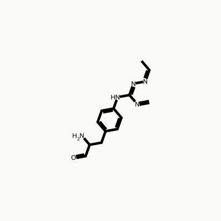 C=N/C(=N\N=C/C)Nc1ccc(CC(N)C=O)cc1